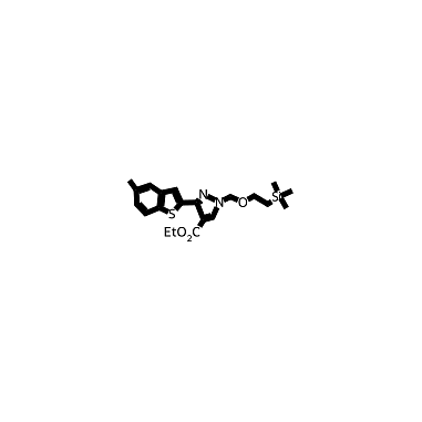 CCOC(=O)c1cn(COCC[Si](C)(C)C)nc1-c1cc2cc(C)ccc2s1